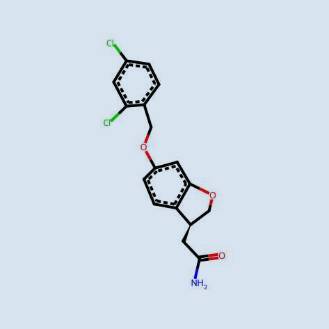 NC(=O)C[C@@H]1COc2cc(OCc3ccc(Cl)cc3Cl)ccc21